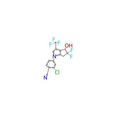 N#Cc1ccc(-n2cc(C(F)(F)F)c3c2CC(F)(F)C3O)cc1Cl